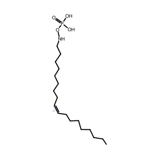 CCCCCCCC/C=C\CCCCCCCCNOP(=O)(O)O